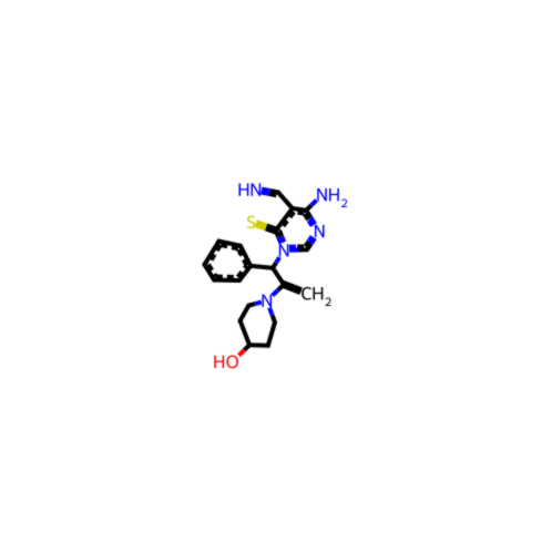 C=C(C(c1ccccc1)n1cnc(N)c(C=N)c1=S)N1CCC(O)CC1